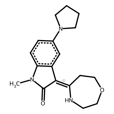 CN1C(=O)/C(=C2/CCOCCN2)c2cc(N3CCCC3)ccc21